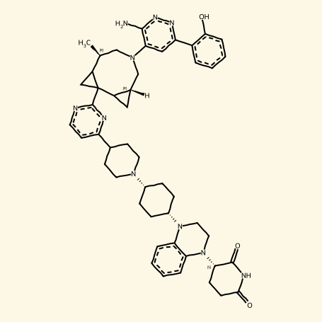 C[C@H]1CN(c2cc(-c3ccccc3O)nnc2N)C[C@@H]2CC2C2(c3nccc(C4CCN([C@H]5CC[C@@H](N6CCN([C@H]7CCC(=O)NC7=O)c7ccccc76)CC5)CC4)n3)CC12